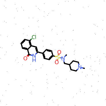 CN1CCC(CN(C)S(=O)(=O)c2ccc(-c3cc4c(Cl)cccc4c(=O)[nH]3)cc2)CC1